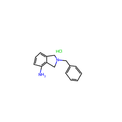 Cl.Nc1cccc2c1CN(Cc1ccccc1)C2